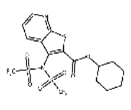 O=C(OC1CCCCC1)c1sc2ncccc2c1N(S(=O)(=O)C(F)(F)F)S(=O)(=O)C(F)(F)F